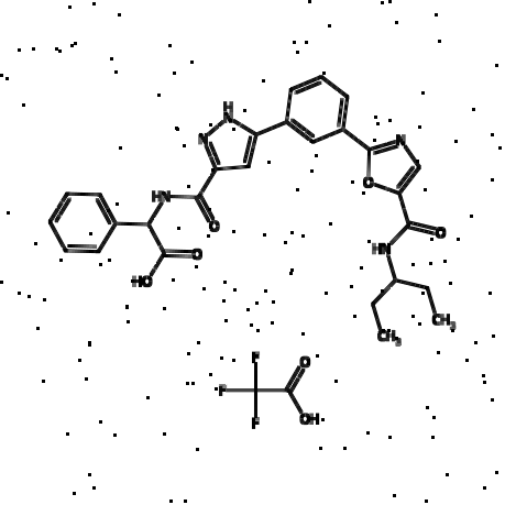 CCC(CC)NC(=O)c1cnc(-c2cccc(-c3cc(C(=O)NC(C(=O)O)c4ccccc4)n[nH]3)c2)o1.O=C(O)C(F)(F)F